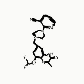 Cc1nc2c(OC(F)F)cc(CN3CCN(c4ncccc4C#N)CC3)cc2[nH]c1=O